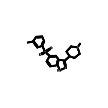 Cc1cccc(S(=O)(=O)c2ccc3[nH]nc(C4CCN(C)CC4)c3c2)c1